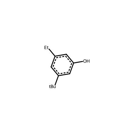 CCc1cc(O)cc(C(C)(C)C)c1